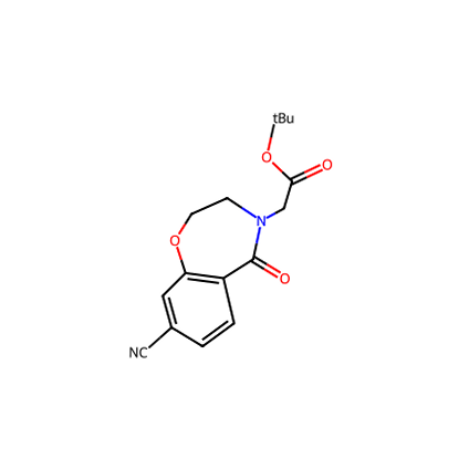 CC(C)(C)OC(=O)CN1CCOc2cc(C#N)ccc2C1=O